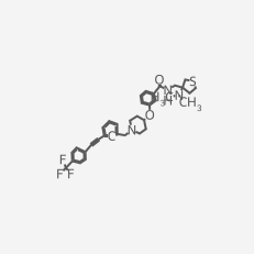 CN(C)C1(CNC(=O)c2cccc(OC3CCN(Cc4cccc(C#Cc5ccc(C(F)(F)F)cc5)c4)CC3)c2)CCSC1